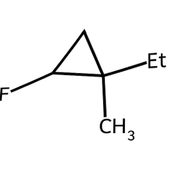 CCC1(C)CC1F